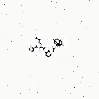 CCNC(=O)C(=O)CC[C@H](NC(=O)c1cncn1C)C(=O)Nc1cccn(CC(=O)NC23CC4(C)CC(C)(CC(C)(C4)C2)C3)c1=O